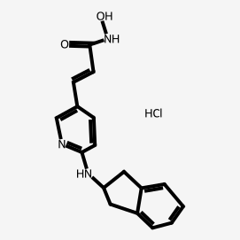 Cl.O=C(C=Cc1ccc(NC2Cc3ccccc3C2)nc1)NO